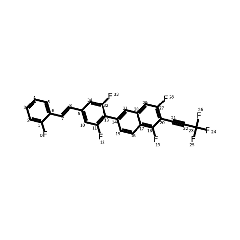 Fc1ccccc1/C=C/c1cc(F)c(-c2ccc3c(F)c(C#CC(F)(F)F)c(F)cc3c2)c(F)c1